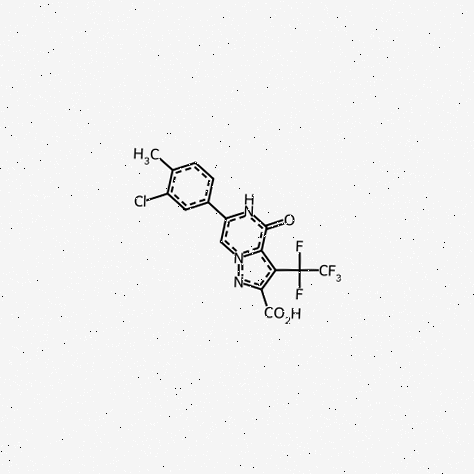 Cc1ccc(-c2cn3nc(C(=O)O)c(C(F)(F)C(F)(F)F)c3c(=O)[nH]2)cc1Cl